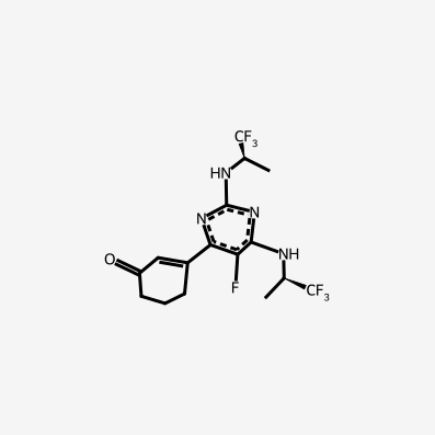 C[C@@H](Nc1nc(N[C@H](C)C(F)(F)F)c(F)c(C2=CC(=O)CCC2)n1)C(F)(F)F